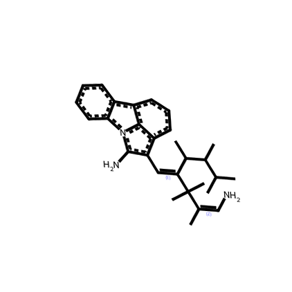 C/C(=C/N)C(C)(C)/C(=C/c1c(N)n2c3ccccc3c3cccc1c32)C(C)C(C)C(C)C